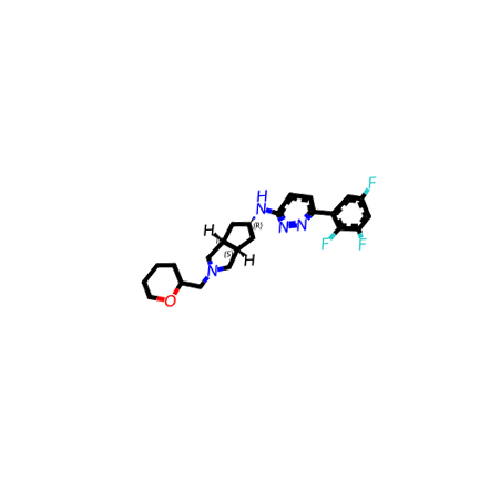 Fc1cc(F)c(F)c(-c2ccc(N[C@@H]3C[C@@H]4CN(CC5CCCCO5)C[C@@H]4C3)nn2)c1